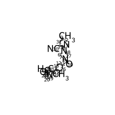 Cc1cnc(N2CCN(C(=O)c3ccc(C(C)(C)N4CCCS4(=O)=O)cc3)CC2)c(C#N)c1